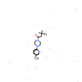 CCC(C)(C)CC(=O)N1CCN(c2ccc(C#N)cn2)CC1